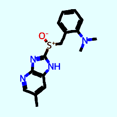 Cc1cnc2nc([S+]([O-])Cc3ccccc3N(C)C)[nH]c2c1